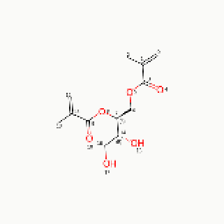 C=C(C)C(=O)OC[C@H](OC(=O)C(=C)C)[C@H](O)CO